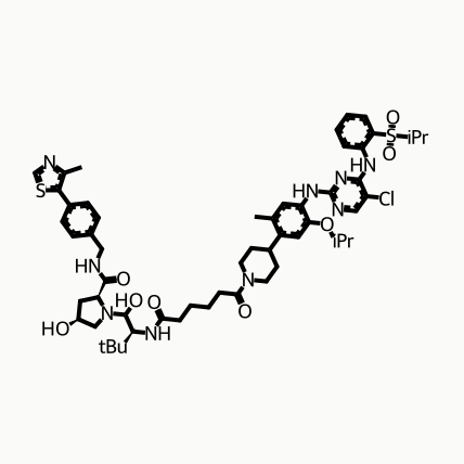 Cc1cc(Nc2ncc(Cl)c(Nc3ccccc3S(=O)(=O)C(C)C)n2)c(OC(C)C)cc1C1CCN(C(=O)CCCCC(=O)N[C@H](C(O)N2C[C@@H](O)C[C@H]2C(=O)NCc2ccc(-c3scnc3C)cc2)C(C)(C)C)CC1